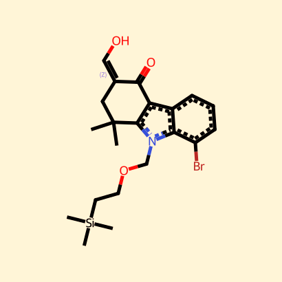 CC1(C)C/C(=C/O)C(=O)c2c1n(COCC[Si](C)(C)C)c1c(Br)cccc21